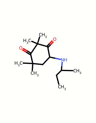 CCC(C)NC1CC(C)(C)C(=O)C(C)(C)C1=O